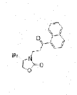 CC(C)[C@H]1COC(=O)N1CCC(=O)c1cccc2ccccc12